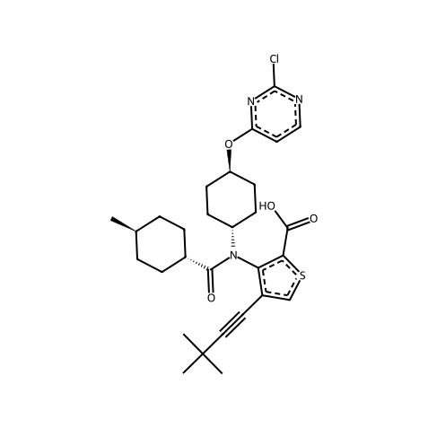 CC(C)(C)C#Cc1csc(C(=O)O)c1N(C(=O)[C@H]1CC[C@H](C)CC1)[C@H]1CC[C@H](Oc2ccnc(Cl)n2)CC1